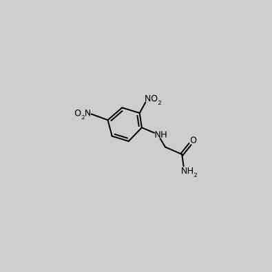 NC(=O)CNc1ccc([N+](=O)[O-])cc1[N+](=O)[O-]